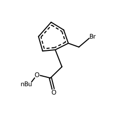 CCCCOC(=O)Cc1ccccc1CBr